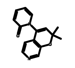 CC1(C)C=C(n2ccccc2=O)c2ccncc2O1